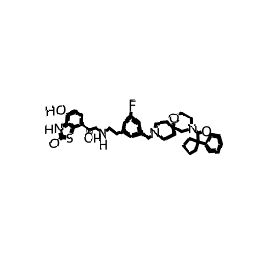 O=C(N1CCOC2(CCN(Cc3cc(F)cc(CCNC[C@H](O)c4ccc(O)c5[nH]c(=O)sc45)c3)CC2)C1)C1(c2ccccc2)CCCC1